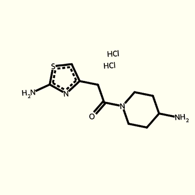 Cl.Cl.Nc1nc(CC(=O)N2CCC(N)CC2)cs1